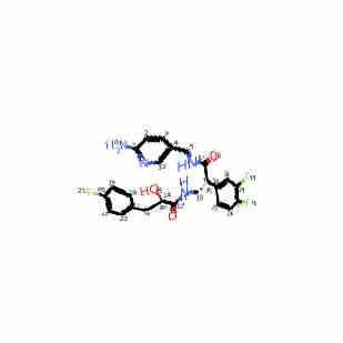 Nc1ccc(CNC(=O)[C@@H](CNC(=O)[C@H](O)Cc2ccc(F)cc2)c2ccc(F)c(F)c2)cn1